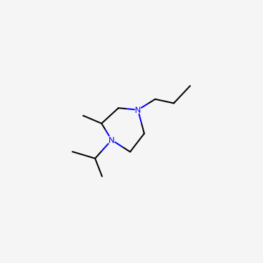 CCCN1CCN(C(C)C)C(C)C1